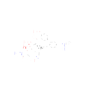 CCCNCc1ccc(OC)c(-c2ccc(O)c3c2C[C@H]2C[C@H]4[C@H](N(C)C)C(O)=C(C(N)=O)C(=O)[C@@]4(O)C(O)=C2C3=O)c1